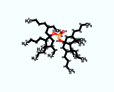 CCCCC(CC)CC(CC(CC)CCCC)(O[PH](=O)OC(CC(CC)CCCC)(CC(CC)CCCC)C(CC)CCCC)C(CC)CCCC